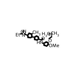 CCc1nc(-c2ccc(-c3ccc(C(=O)Nc4ccc(OC)c(OCCN(C)C)c4)cc3)c(C)c2)no1